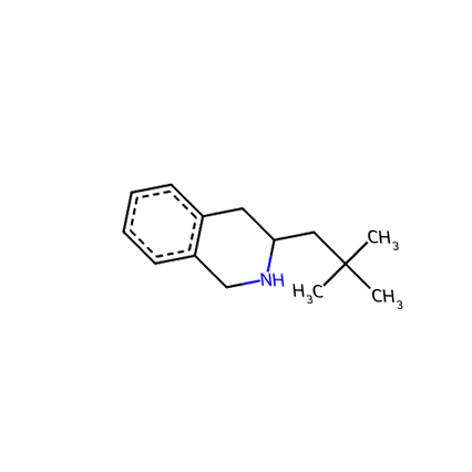 CC(C)(C)CC1Cc2ccccc2CN1